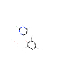 CCOCC.Cc1cc(C#N)cc(C)c1Oc1cc(Cl)nc(Cl)n1